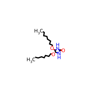 CCCCCCCCOC1NC(=O)NC1OCCCCCCCC